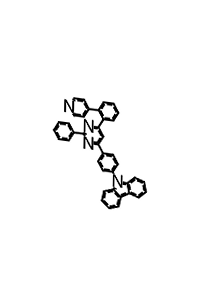 c1ccc(-c2nc(-c3ccc(-n4c5ccccc5c5ccccc54)cc3)cc(-c3ccccc3-c3ccncc3)n2)cc1